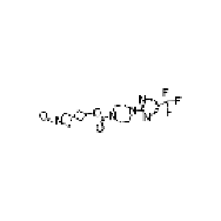 O=CN1CC2(CC(OC(=O)N3CCN(c4ncc(C(F)(F)F)cn4)CC3)C2)C1